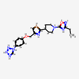 CCc1noc(N2CCC(c3nc(COc4ccc(-n5cnnn5)cc4)cs3)CC2)n1